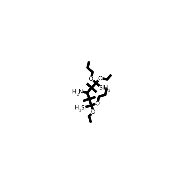 CCCOC([SiH3])(OCC)C(C)(C)C(N)C(C)(C)C([SiH3])(OCC)OCCC